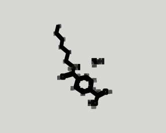 CCCCCCNC(=O)c1ccc(C(=O)O)cc1.[NaH]